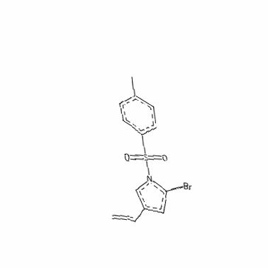 C=Cc1cc(Br)n(S(=O)(=O)c2ccc(C)cc2)c1